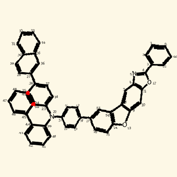 c1ccc(-c2nc3cc4c(cc3o2)oc2ccc(-c3ccc(N(c5ccc(-c6ccc7ccccc7c6)cc5)c5ccccc5-c5ccccc5)cc3)cc24)cc1